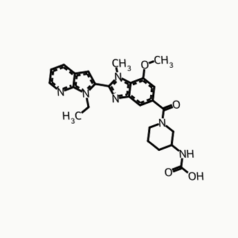 CCn1c(-c2nc3cc(C(=O)N4CCCC(NC(=O)O)C4)cc(OC)c3n2C)cc2cccnc21